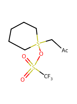 CC(=O)CS1(OS(=O)(=O)C(F)(F)F)CCCCC1